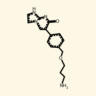 NCCCOCc1ccc(-c2cn3cc[nH]c3nc2=O)cc1